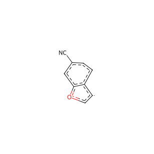 N#Cc1ccc2[c]coc2c1